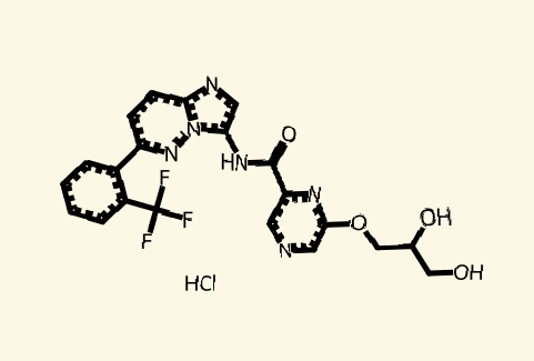 Cl.O=C(Nc1cnc2ccc(-c3ccccc3C(F)(F)F)nn12)c1cncc(OCC(O)CO)n1